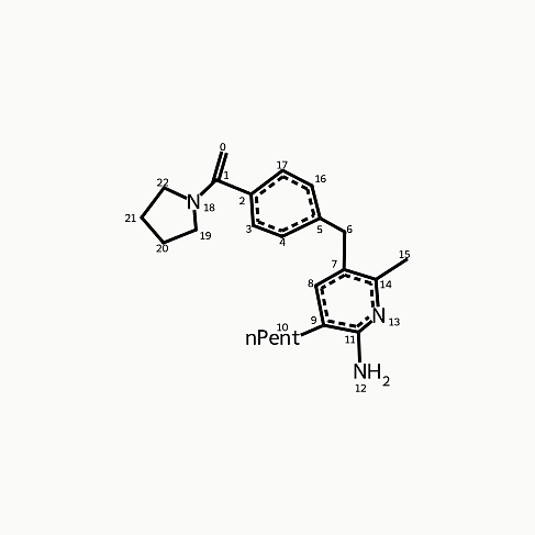 C=C(c1ccc(Cc2cc(CCCCC)c(N)nc2C)cc1)N1CCCC1